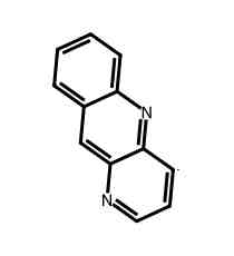 [c]1ccnc2cc3ccccc3nc12